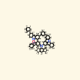 c1ccc(-c2ccc3[nH]c4c(-c5cc(N(c6cc7c8ccccc8n8c9ccccc9c(c6)c78)c6c7c(cc8c6CCC8)CCC7)cc6c5oc5ccccc56)cc(-c5ccccc5)cc4c3c2)cc1